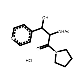 CC(=O)NC(C(=O)N1CCCC1)C(O)c1ccncc1.Cl